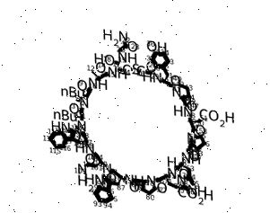 CCCC[C@H]1C(=O)N(C)[C@@H](CCCC)C(=O)N[C@@H](C)C(=O)N[C@H](C(O)NCC(N)=O)CSCC(=O)N[C@@H](Cc2ccc(O)cc2)C(=O)N2CCC[C@H]2C(=O)N[C@@H](CC(=O)O)C(=O)N2CCC[C@H]2C(=O)N[C@@H](Cc2c[nH]cn2)C(=O)N[C@@H](CCC(=O)O)C(=O)N2CCC[C@H]2C(=O)N[C@@H](Cc2c[nH]c3ccccc23)C(=O)N[C@@H](CCN)C(=O)N[C@@H](Cc2c[nH]c3ccccc23)C(=O)N1C